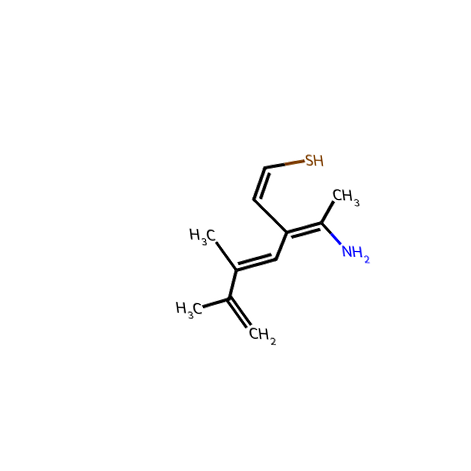 C=C(C)/C(C)=C/C(/C=C\S)=C(/C)N